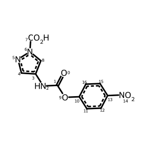 O=C(Nc1cnn(C(=O)O)c1)Oc1ccc([N+](=O)[O-])cc1